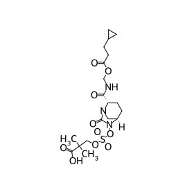 CC(C)(COS(=O)(=O)ON1C(=O)N2C[C@H]1CC[C@H]2C(=O)NCOC(=O)CCC1CC1)C(=O)O